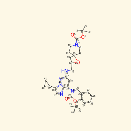 CC(C)(C)OC(=O)N1CCC2(CC1)CC(CNc1cc(N(Cc3ccccc3)C(=O)OC(C)(C)C)c3ncc(C4CC4)n3n1)O2